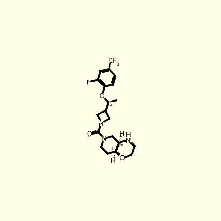 C[C@H](Oc1ccc(C(F)(F)F)cc1F)C1CN(C(=O)N2CC[C@@H]3OCCN[C@@H]3C2)C1